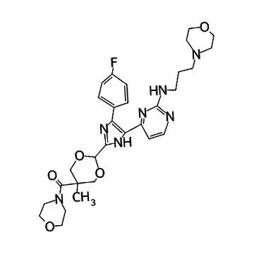 CC1(C(=O)N2CCOCC2)COC(c2nc(-c3ccc(F)cc3)c(-c3ccnc(NCCCN4CCOCC4)n3)[nH]2)OC1